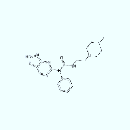 CN1CCN(CCNC(=O)N(c2ccccc2)c2ncc3c[nH]nc3n2)CC1